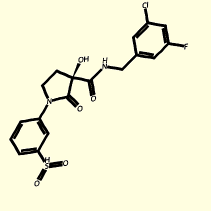 O=C(NCc1cc(F)cc(Cl)c1)[C@@]1(O)CCN(c2cccc([SH](=O)=O)c2)C1=O